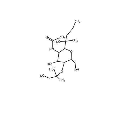 CCCC(C)(C)C1OC(CO)C(OC(C)(C)CC)C(O)C1NC(C)=O